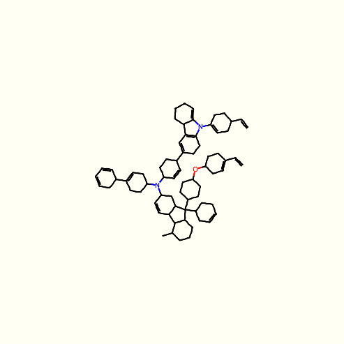 C=CC1=CCC(OC2CCC(C3(C4CC=CCC4)C4CC(N(C5C=CC(C6=CC7=C(CC6)N(C6=CCC(C=C)CC6)C6=CCCCC67)CC5)C5CC=C(C6C=CC=CC6)CC5)C=CC4C4C(C)CCCC43)CC2)CC1